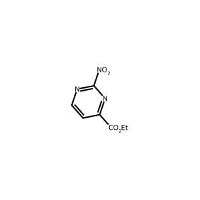 CCOC(=O)c1ccnc([N+](=O)[O-])n1